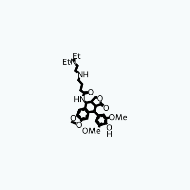 CCN(CC)CCNCCCC(=O)NC1c2cc3c(cc2C(c2cc(OC)c(O)c(OC)c2)C2C(=O)OCC12)OCO3